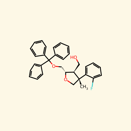 C[C@@]1(c2ccccc2F)CO[C@H](COC(c2ccccc2)(c2ccccc2)c2ccccc2)[C@H]1CO